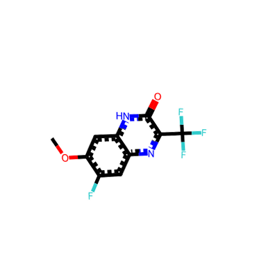 COc1cc2[nH]c(=O)c(C(F)(F)F)nc2cc1F